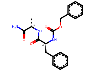 C[C@H](NC(=O)[C@H](Cc1ccccc1)NC(=O)OCc1ccccc1)C(N)=O